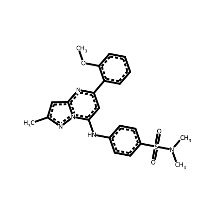 COc1ccccc1-c1cc(Nc2ccc(S(=O)(=O)N(C)C)cc2)n2nc(C)cc2n1